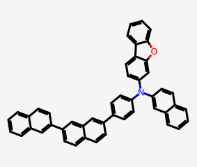 c1ccc2cc(-c3ccc4ccc(-c5ccc(N(c6ccc7ccccc7c6)c6ccc7c(c6)oc6ccccc67)cc5)cc4c3)ccc2c1